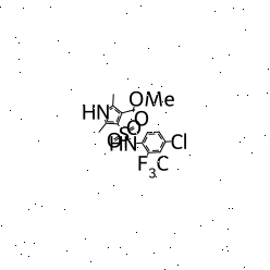 COC(=O)c1c(C)[nH]c(C)c1S(=O)(=O)Nc1ccc(Cl)cc1C(F)(F)F